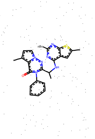 CCCCc1nc(NC(C)c2nn3ccc(C)c3c(=O)n2-c2ccccc2)c2cc(C)sc2n1